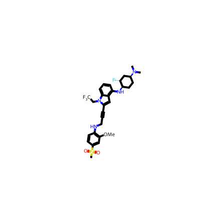 COc1cc(S(C)(=O)=O)ccc1NCC#Cc1cc2c(N[C@@H]3CC[C@H](N(C)C)C[C@H]3F)cccc2n1CC(F)(F)F